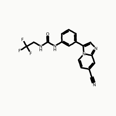 N#Cc1ccn2c(-c3cccc(NC(=O)NCC(F)(F)F)c3)cnc2c1